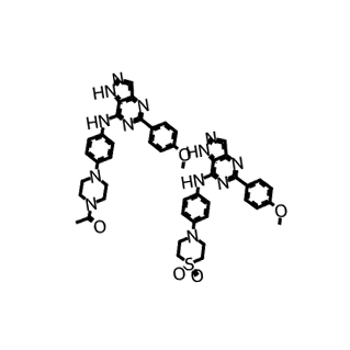 COc1ccc(-c2nc(Nc3ccc(N4CCN(C(C)=O)CC4)cc3)c3[nH]ncc3n2)cc1.COc1ccc(-c2nc(Nc3ccc(N4CCS(=O)(=O)CC4)cc3)c3[nH]ncc3n2)cc1